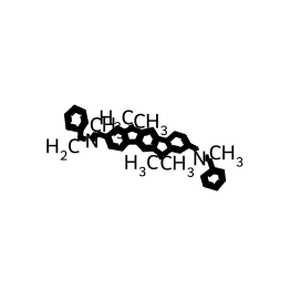 C=C(/N=C(\C)c1ccc2c(c1)C(C)(C)c1cc3c(cc1-2)C(C)(C)C1=CC(C/N=C(\C)c2ccccc2)=CCC13)c1ccccc1